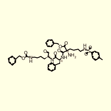 Cc1ccc(S(=O)(=O)NCCCC[C@@](N)(C(=O)N[C@@H](Cc2ccccc2)C(=O)N[C@H](C=O)CCCCNC(=O)OCc2ccccc2)C(=O)OCc2ccccc2)cc1